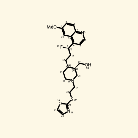 COc1ccc2nccc([C@H](F)CC[C@@H]3CCN(CCSc4ncco4)C[C@@H]3CO)c2c1